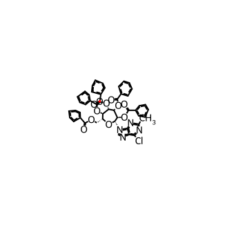 Cc1nc(Cl)c2ncn([C@@H]3O[C@H](COC(=O)c4ccccc4)[C@@H](OC(=O)c4ccccc4)[C@H](OC(=O)c4ccccc4)[C@@H](OC(=O)c4ccccc4)[C@H]3OC(=O)c3ccccc3)c2n1